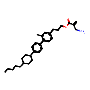 C=C(CN)C(=O)OCCCc1ccc(-c2ccc(C3CCC(CCCCC)CC3)cc2)c(C)c1